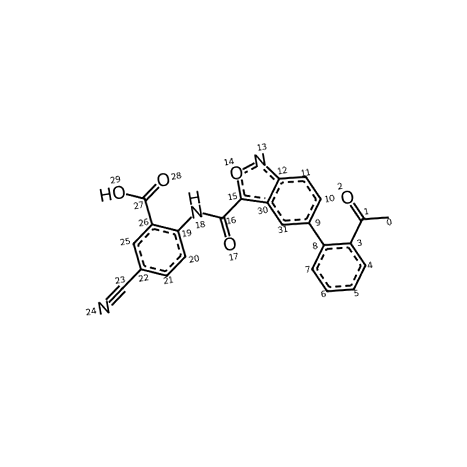 CC(=O)c1ccccc1-c1ccc2noc(C(=O)Nc3ccc(C#N)cc3C(=O)O)c2c1